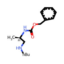 CCCCNC[C@@H](C)NC(=O)OCc1ccccc1